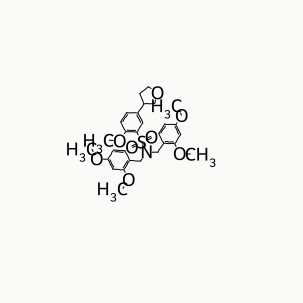 COc1ccc(CN(Cc2ccc(OC)cc2OC)S(=O)(=O)c2cc(C3CCOC3)ccc2OC)c(OC)c1